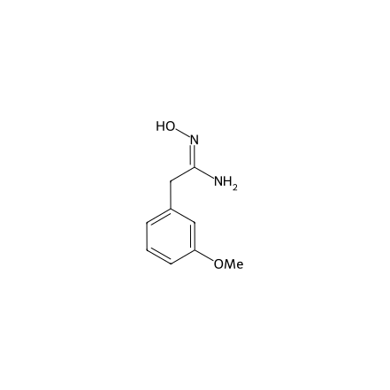 COc1cccc(C/C(N)=N\O)c1